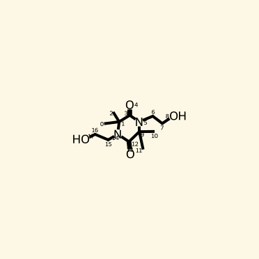 CC1(C)C(=O)N(CCO)C(C)(C)C(=O)N1CCO